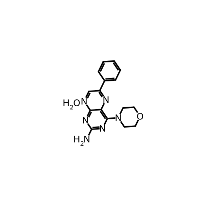 Nc1nc(N2CCOCC2)c2nc(-c3ccccc3)cnc2n1.O